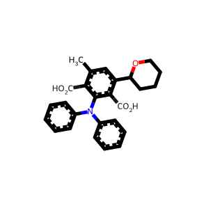 Cc1cc(C2CCCCO2)c(C(=O)O)c(N(c2ccccc2)c2ccccc2)c1C(=O)O